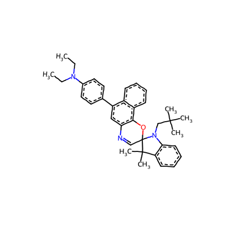 CCN(CC)c1ccc(-c2cc3c(c4ccccc24)OC2(C=N3)N(CC(C)(C)C)c3ccccc3C2(C)C)cc1